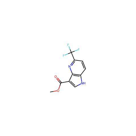 COC(=O)c1c[nH]c2ccc(C(F)(F)F)nc12